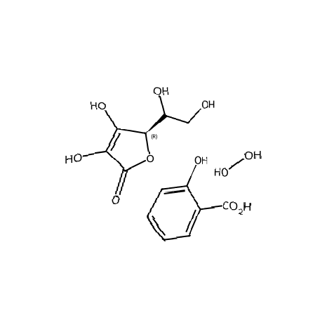 O=C(O)c1ccccc1O.O=C1O[C@H](C(O)CO)C(O)=C1O.OO